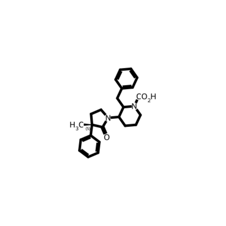 C[C@@]1(c2ccccc2)CCN(C2CCCN(C(=O)O)C2Cc2ccccc2)C1=O